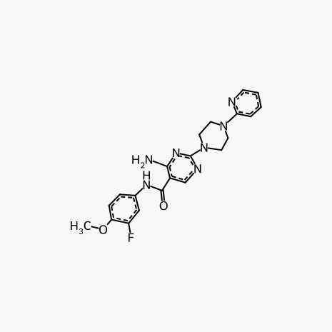 COc1ccc(NC(=O)c2cnc(N3CCN(c4ccccn4)CC3)nc2N)cc1F